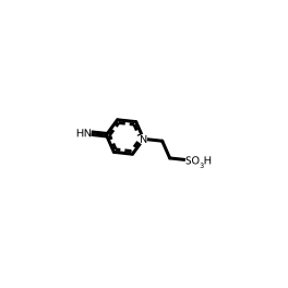 N=c1ccn(CCS(=O)(=O)O)cc1